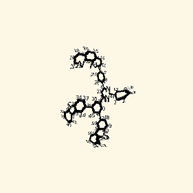 c1ccc(-c2nc(-c3ccc(-c4ccc5ccc6cccnc6c5n4)cc3)cc(-c3cc(-c4ccc5sc6ccccc6c5c4)cc(-c4ccc5sc6ccccc6c5c4)c3)n2)cc1